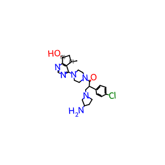 C[C@@H]1C[C@@H](O)c2ncnc(N3CCN(C(=O)C(CN4CCC(N)C4)c4ccc(Cl)cc4)CC3)c21